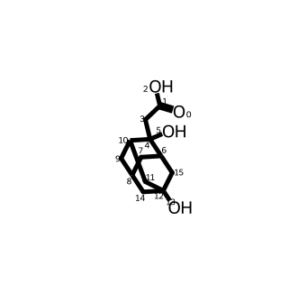 O=C(O)CC1(O)C2CC3CC1CC(O)(C3)C2